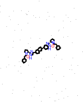 O=C(Cc1ccccc1)N1CCC[C@H]1c1nc(-c2ccc3cc(-c4ccc5[nH]c([C@@H]6CCCN6C(=O)Cc6ccccc6)nc5c4)ccc3c2)c[nH]1